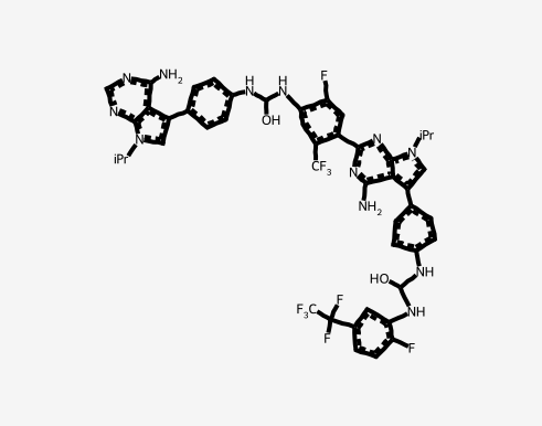 CC(C)n1cc(-c2ccc(NC(O)Nc3cc(C(F)(F)F)c(-c4nc(N)c5c(-c6ccc(NC(O)Nc7cc(C(F)(F)C(F)(F)F)ccc7F)cc6)cn(C(C)C)c5n4)cc3F)cc2)c2c(N)ncnc21